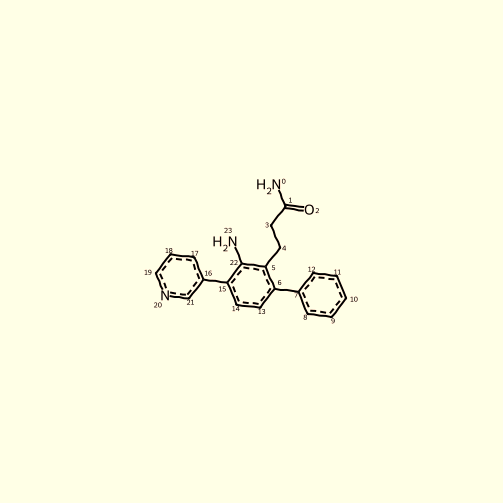 NC(=O)CCc1c(-c2ccccc2)ccc(-c2cccnc2)c1N